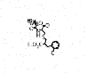 CCOC(=O)C(CSCC(NC(=O)OC(C)(C)C)C(=O)OC)Cc1ccccc1Cl